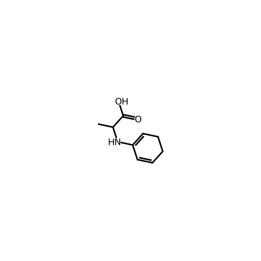 CC(NC1=CCCC=C1)C(=O)O